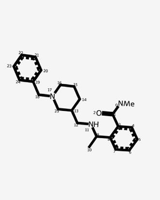 CNC(=O)c1ccccc1C(C)NCC1CCCN(Cc2ccccc2)C1